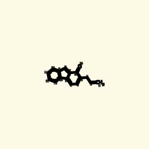 C=CCC1=CC=C2C(=Cc3ccccc32)C1=O